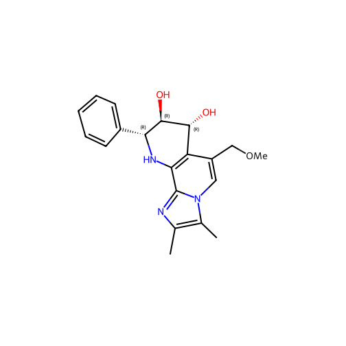 COCc1cn2c(C)c(C)nc2c2c1[C@@H](O)[C@H](O)[C@@H](c1ccccc1)N2